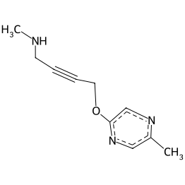 CNCC#CCOc1cnc(C)cn1